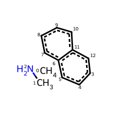 C.CN.c1ccc2ccccc2c1